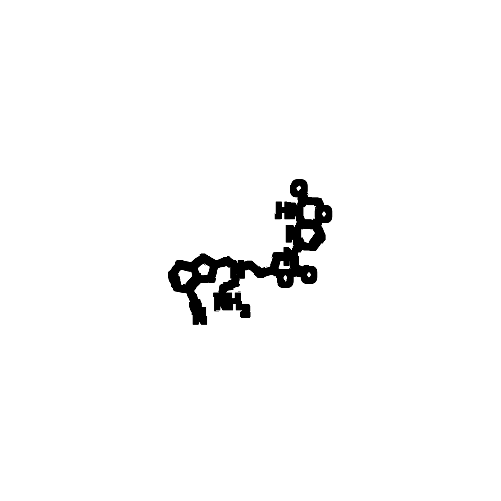 N#Cc1cccc2c1CC(CN(CCN)CCC1CN(c3ccc4c(n3)NC(=O)CO4)C(=O)O1)C2